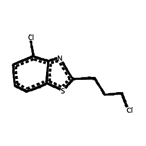 ClCCCc1nc2c(Cl)cccc2s1